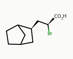 O=C(O)[C@@H](Br)C[C@H]1CC2CCC1C2